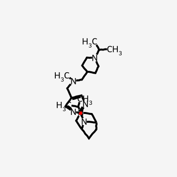 CC(C)N1CCC(CN(C)Cc2cnc(N3C4CCC3CN(C(C)C)C4)nc2)CC1